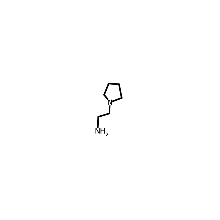 NCCN1[CH]CCC1